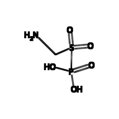 NCS(=O)(=O)P(=O)(O)O